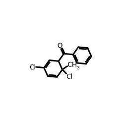 CC1(Cl)C=CC(Cl)=CC1C(=O)c1ccccc1